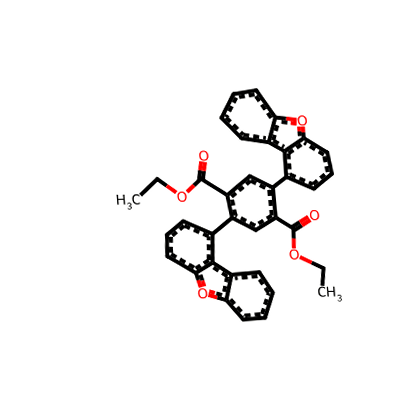 CCOC(=O)c1cc(-c2cccc3oc4ccccc4c23)c(C(=O)OCC)cc1-c1cccc2oc3ccccc3c12